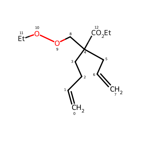 C=CCCC(CC=C)(COOCC)C(=O)OCC